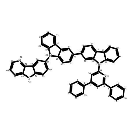 c1ccc(-c2cc(-c3ccccc3)nc(-n3c4ccccc4c4ccc(-c5ccc6c(c5)c5ccccc5n6-c5ccc6sc7cccnc7c6c5)cc43)c2)cc1